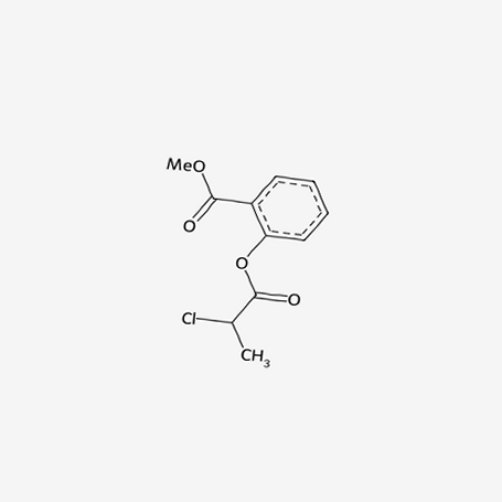 COC(=O)c1ccccc1OC(=O)C(C)Cl